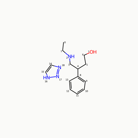 CCNCC(CCO)c1ccccc1.c1c[nH]nn1